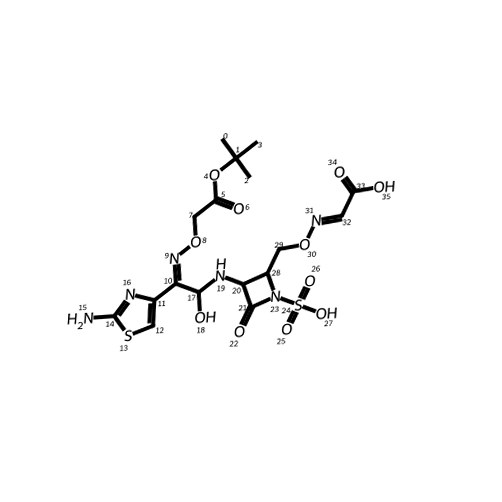 CC(C)(C)OC(=O)CON=C(c1csc(N)n1)C(O)NC1C(=O)N(S(=O)(=O)O)C1CON=CC(=O)O